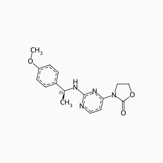 COc1ccc([C@H](C)Nc2nccc(N3CCOC3=O)n2)cc1